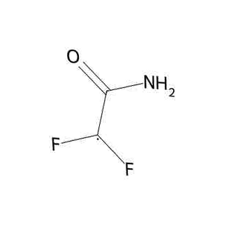 NC(=O)[C](F)F